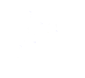 CC(=N)/C=C(\S)Nc1cc(N[C@H](Cc2ccccc2)C(N)=O)ccc1C#N